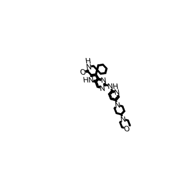 O=C1NCC2(CCCCC2)c2c1[nH]c1cnc(Nc3ccc(N4CCC(N5CCOCC5)CC4)cn3)nc21